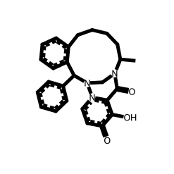 CC1CCCCc2ccccc2C(c2ccccc2)N2CN1C(=O)c1c(O)c(=O)ccn12